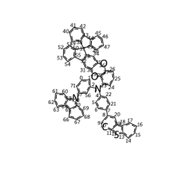 c1cc(N(c2ccc(-c3ccc4sc5ccccc5c4c3)cc2)c2cccc3c2Oc2cc4c(cc2O3)C2(c3ccccc3-c3ccccc32)c2ccccc2-4)cc(-n2c3ccccc3c3ccccc32)c1